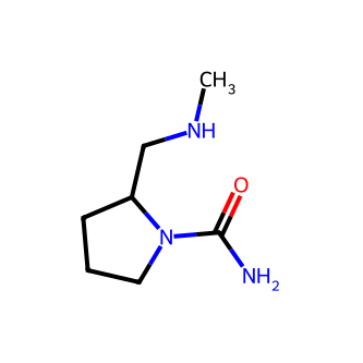 CNCC1CCCN1C(N)=O